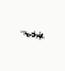 COC(=O)c1cnc(N2CC[C@H](NC(=O)c3[nH]c(C)c(Cl)c3Cl)[C@@H](F)C2)s1